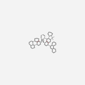 CC1(C)c2ccccc2-c2c(C3C=CC=CC3N(c3ccc(-c4cc5ccccc5c5ccccc45)cc3)c3ccc(-c4cccc5cccc(-c6ccccc6)c45)cc3)cccc21